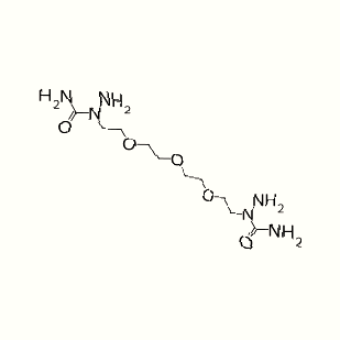 NC(=O)N(N)CCOCCOCCOCCN(N)C(N)=O